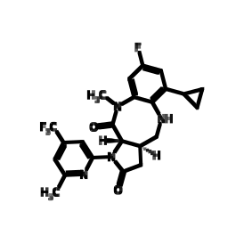 Cc1cc(C(F)(F)F)cc(N2C(=O)C[C@@H]3CNc4c(C5CC5)cc(F)cc4N(C)C(=O)[C@H]32)n1